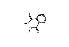 O=C(OF)c1ccccc1C(=O)OF